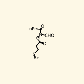 CCCC(=O)N(C=O)OC(=O)CCSC(C)=O